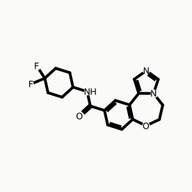 O=C(NC1CCC(F)(F)CC1)c1ccc2c(c1)-c1cncn1CCO2